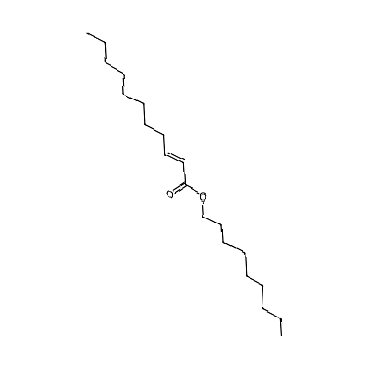 CCCCCCCCC=CC(=O)OCCCCCCCCC